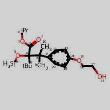 CC(C)OC(=O)C(O[SiH3])(C(C)(C)C)C(C)(C)c1ccc(OCCO)cc1